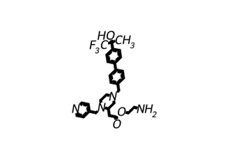 CC(O)(c1ccc(-c2ccc(CN3CCN(Cc4ccncc4)C(CC(=O)OCCN)C3)cc2)cc1)C(F)(F)F